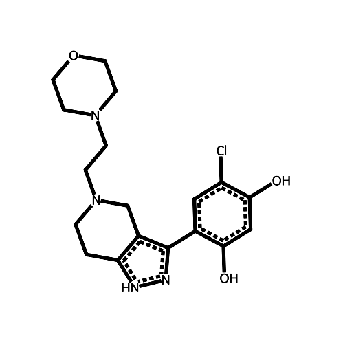 Oc1cc(O)c(-c2n[nH]c3c2CN(CCN2CCOCC2)CC3)cc1Cl